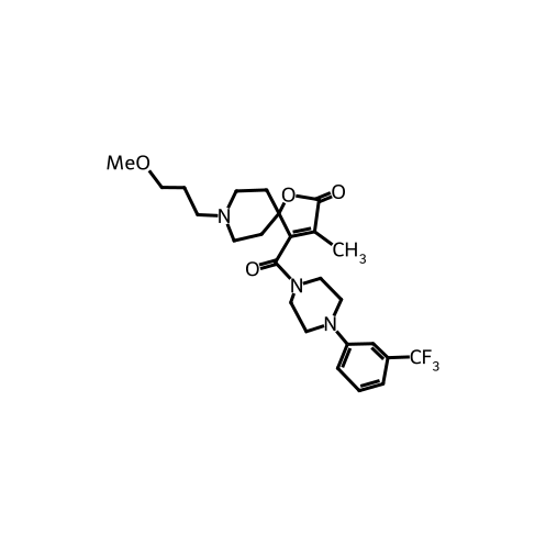 COCCCN1CCC2(CC1)OC(=O)C(C)=C2C(=O)N1CCN(c2cccc(C(F)(F)F)c2)CC1